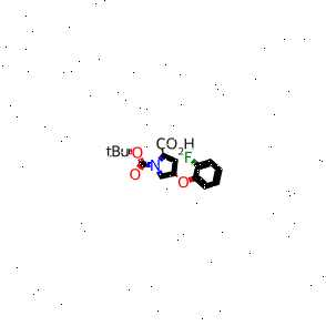 CC(C)(C)OC(=O)N1C[C@@H](Oc2ccccc2F)C[C@H]1C(=O)O